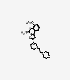 COc1cccc2c1nc(N)n1nc([C@@H]3CCCN(CCN4CCOCC4)C3)nc21